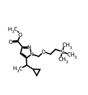 COC(=O)c1cc(C(C)C2CC2)n(COCC[Si](C)(C)C)n1